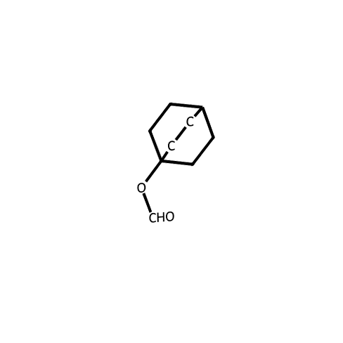 O=COC12CCC(CC1)CC2